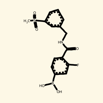 CS(=O)(=O)c1cccc(CNC(=O)c2ccc(B(O)O)cc2F)c1